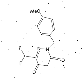 COc1ccc(CN2N=C(C(F)F)C(=O)CC2=O)cc1